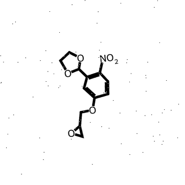 O=[N+]([O-])c1ccc(OCC2CO2)cc1C1OCCO1